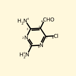 Nc1nc(N)c(C=O)c(Cl)n1